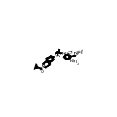 Cc1cn(-c2ccc3c(c2)CCN(C(=O)C2CC2)C3)nc1Nc1ccc(N)c(C=N)c1Cl